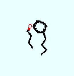 CCCC=O.CCCCc1ccccc1